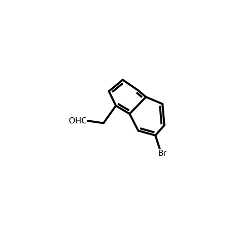 O=CCc1cccc2ccc(Br)cc12